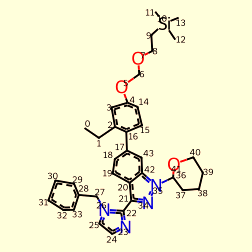 CCc1cc(OCOCC[Si](C)(C)C)ccc1-c1ccc2c(-c3nccn3Cc3ccccc3)nn(C3CCCCO3)c2c1